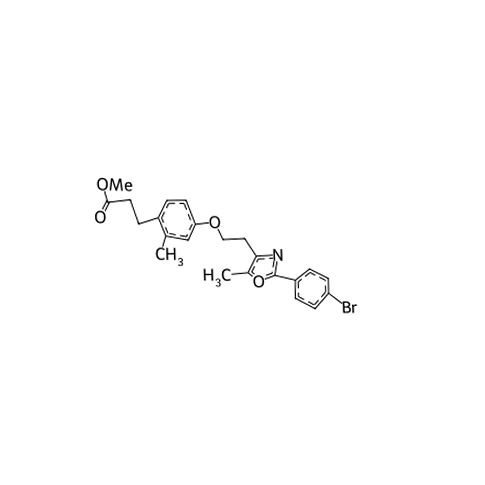 COC(=O)CCc1ccc(OCCc2nc(-c3ccc(Br)cc3)oc2C)cc1C